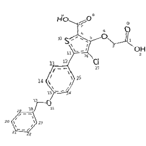 O=C(O)COc1c(C(=O)O)sc(-c2ccc(OCc3ccccc3)cc2)c1Cl